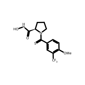 COc1ccc(C(=S)N2CCC[C@@H]2C(=O)NO)cc1C(F)(F)F